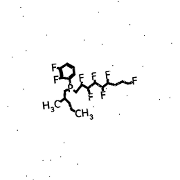 CCCC(C)CP(CC(F)C(F)C(F)C(F)C(F)CCCF)c1cccc(F)c1F